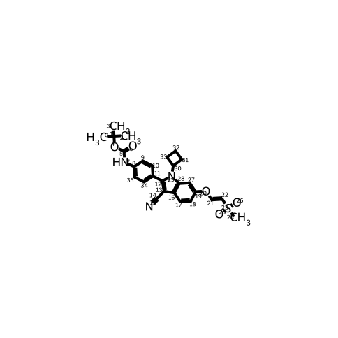 CC(C)(C)OC(=O)Nc1ccc(-c2c(C#N)c3ccc(OC=CS(C)(=O)=O)cc3n2C2CCC2)cc1